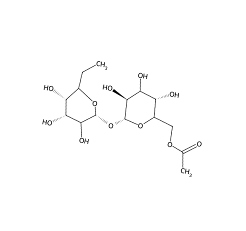 CCC1O[C@H](O[C@H]2OC(COC(C)=O)[C@@H](O)C(O)[C@@H]2O)C(O)[C@H](O)[C@@H]1O